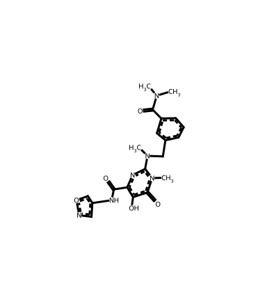 CN(C)C(=O)c1cccc(CN(C)c2nc(C(=O)Nc3cnoc3)c(O)c(=O)n2C)c1